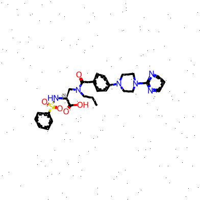 CCCN(C[C@H](NS(=O)(=O)c1ccccc1)C(=O)O)C(=O)c1ccc(N2CCN(c3ncccn3)CC2)cc1